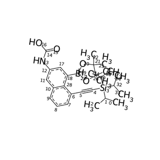 CC(C)[Si](C#Cc1cccc2cc(NC(=O)O)cc(B3OC(C)(C)C(C)(C)O3)c12)(C(C)C)C(C)C